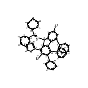 CCc1cc(-c2ccccc2)c2c(c1)[CH]([Zr]=[C](c1ccccc1)c1ccccc1)c1c(C3=CC=CC3)c(CC)c(-c3ccccc3)c(-c3ccccc3)c1-2